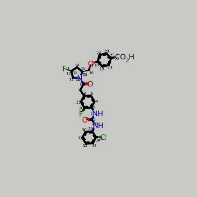 O=C(Nc1ccc(CC(=O)N2C[C@@H](F)C[C@H]2COc2ccc(C(=O)O)cc2)cc1F)Nc1ccccc1Cl